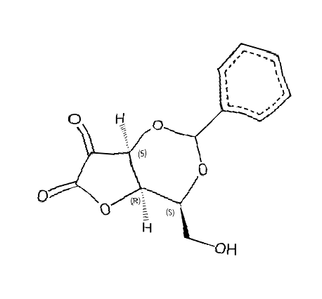 O=C1O[C@@H]2[C@H](CO)OC(c3ccccc3)O[C@@H]2C1=O